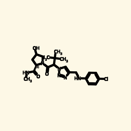 CNC(=O)[C@H]1CC(O)CN1C(=O)C(n1cc(CNc2ccc(Cl)cc2)nn1)C(C)(C)C